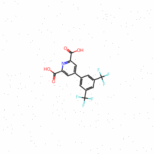 O=C(O)c1cc(-c2cc(C(F)(F)F)cc(C(F)(F)F)c2)cc(C(=O)O)n1